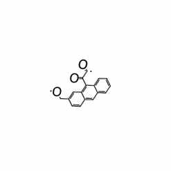 [O]Cc1ccc2cc3ccccc3c(C(=O)[C]=O)c2c1